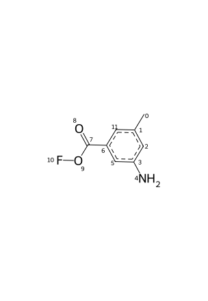 Cc1cc(N)cc(C(=O)OF)c1